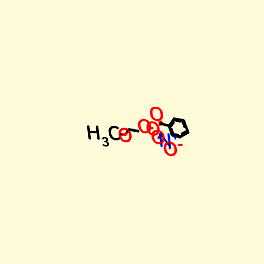 COCCOOC(=O)c1ccccc1[N+](=O)[O-]